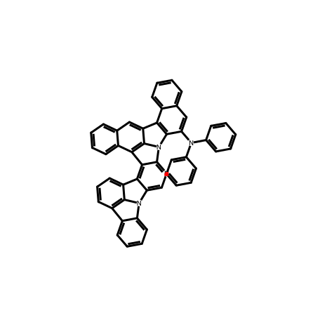 c1ccc(N(c2ccccc2)c2cc3ccccc3c3c4cc5ccccc5c5c6c7c8cccc9c%10ccccc%10n(c7cnc6n(c23)c45)c98)cc1